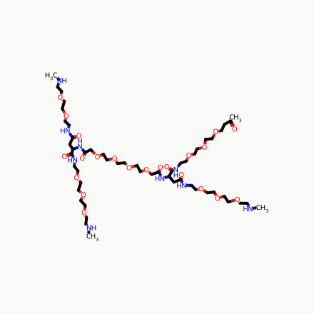 CNCCOCCOCCNC(=O)CC(NC(=O)COCCOCCOCCOCC(=O)NC(CC(=O)NCCOCCOCCOCCNC)C(=O)NCCOCCOCCOCCC(C)=O)C(=O)NCCOCCOCCOCCNC